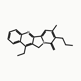 C=C1C(CCC)=C(C)C=C2c3nc4ccccc4c(CC)c3CN12